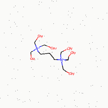 OC[N+](CO)(CO)CCC[N+](CO)(CO)CO